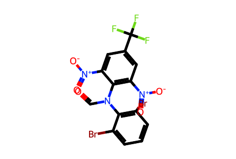 O=CN(c1c(Br)cccc1Br)c1c([N+](=O)[O-])cc(C(F)(F)F)cc1[N+](=O)[O-]